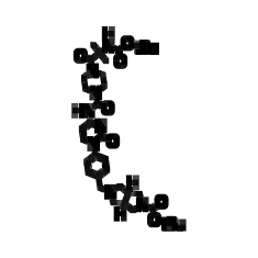 CC(C)(C)OC(=O)NC(C)(C)C(=O)N1CCN(C(=O)Nc2ccn(-c3ccc(CN4C[C@@H]5CN(C(=O)OC(C)(C)C)C[C@@H]5C4)cc3)c(=O)n2)CC1